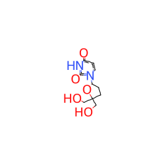 O=c1ccn(C2CCC(CO)(CO)O2)c(=O)[nH]1